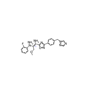 COC/C(=C(/N)c1nc(-c2ccc(Cn3cncn3)cc2)no1)N(N)c1ccccc1F